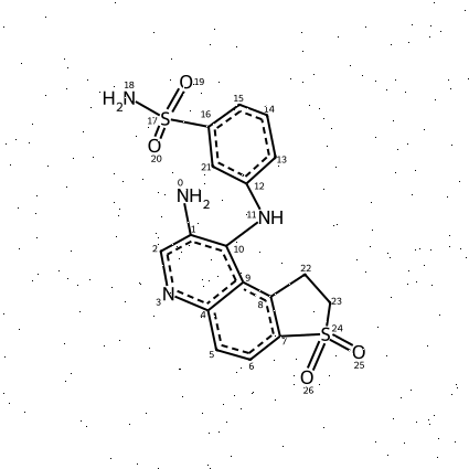 Nc1cnc2ccc3c(c2c1Nc1cccc(S(N)(=O)=O)c1)CCS3(=O)=O